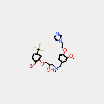 COc1cc(CN(C)CC(O)COc2cc(C(F)(F)F)ccc2Br)ccc1OCCn1ccnc1